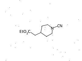 CCOC(=O)CC1CCN(C#N)CC1